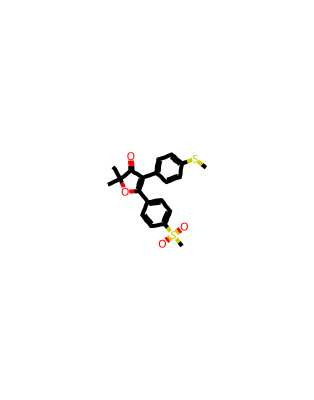 CSc1ccc(C2=C(c3ccc(S(C)(=O)=O)cc3)OC(C)(C)C2=O)cc1